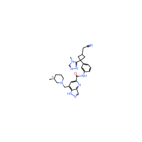 C[C@H]1CCCN(Cc2cc(C(=O)Nc3cccc(C4(c5nncn5C)CC(CC#N)C4)c3)nc3cn[nH]c23)C1